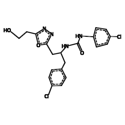 O=C(Nc1ccc(Cl)cc1)NC(Cc1ccc(Cl)cc1)Cc1nnc(CCO)o1